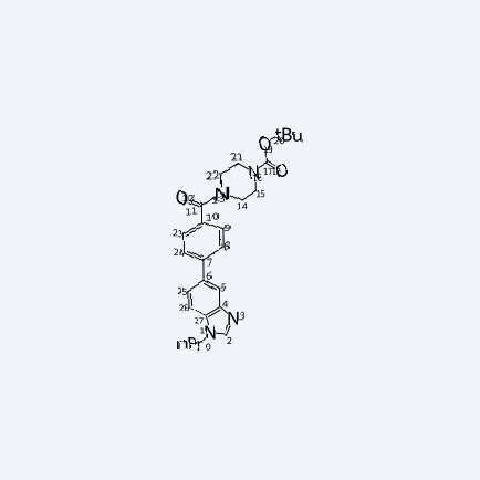 CCCn1cnc2cc(-c3ccc(C(=O)N4CCN(C(=O)OC(C)(C)C)CC4)cc3)ccc21